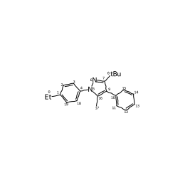 [CH2]Cc1ccc(-n2nc(C(C)(C)C)c(-c3ccccc3)c2C)cc1